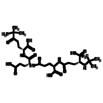 CC(C)(C)N[C@H](CCC(=O)N[C@H](CCC(=O)N[C@H](CCC(=O)O)C(=O)N[C@H](CCC(=O)C(C)(C)C)C(=O)O)C(=O)O)C(=O)O